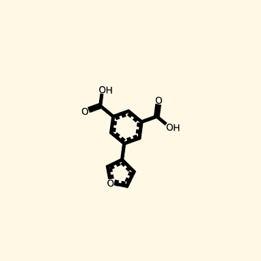 O=C(O)c1cc(C(=O)O)cc(-c2ccoc2)c1